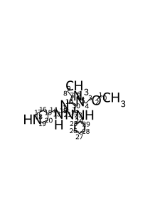 CCOCCn1nc(CC)c2nc(NCC3CCNCC3)nc(Nc3ccccc3)c21